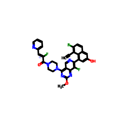 C#Cc1c(F)ccc2cc(O)cc(-c3ncc4c(N5CCN(C(=O)/C(F)=C/c6ccccn6)CC5)nc(OC)nc4c3F)c12